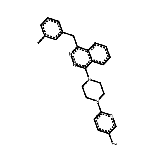 Cc1cccc(Cc2nnc(N3CCN(c4ccc(C#N)cn4)CC3)c3ccccc23)c1